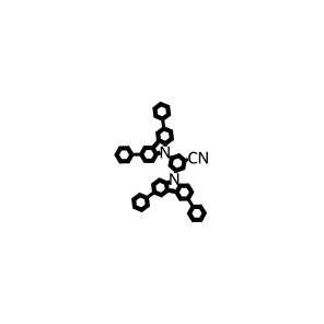 N#Cc1cc(-n2c3ccc(-c4ccccc4)cc3c3cc(-c4ccccc4)ccc32)cc(-n2c3ccc(-c4ccccc4)cc3c3cc(-c4ccccc4)ccc32)c1